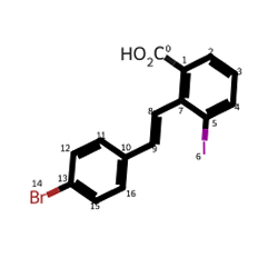 O=C(O)c1cccc(I)c1/C=C/c1ccc(Br)cc1